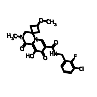 COC1CC2(C1)CN(C)C(=O)c1c(O)c(=O)c(C(=O)NCc3cccc(Cl)c3F)cn12